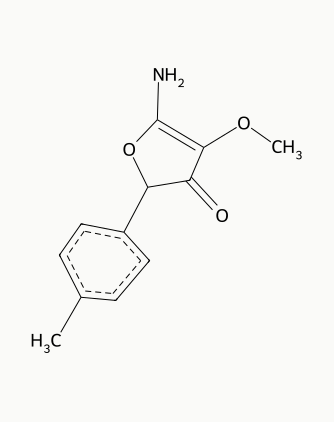 COC1=C(N)OC(c2ccc(C)cc2)C1=O